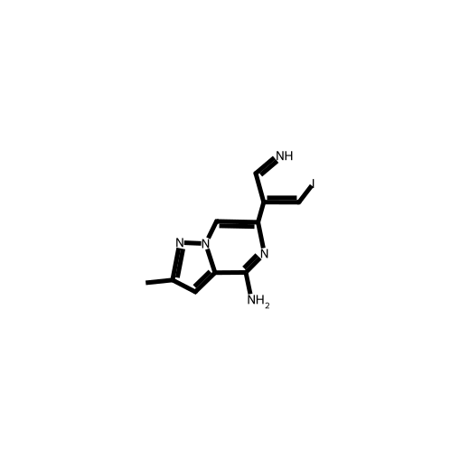 Cc1cc2c(N)nc(/C(C=N)=C/I)cn2n1